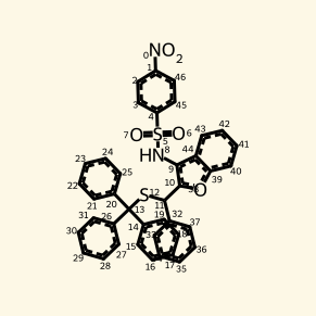 O=[N+]([O-])c1ccc(S(=O)(=O)Nc2c(C(SC(c3ccccc3)(c3ccccc3)c3ccccc3)c3ccccc3)oc3ccccc23)cc1